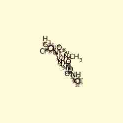 CC(=O)N1CCC(C(=O)N(CCCN2CC3CN(OC(=O)NCc4ccccc4)CC3C2)c2ccc(C)c(Cl)c2)CC1